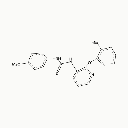 COc1ccc(NC(=S)Nc2cccnc2Oc2ccccc2C(C)(C)C)cc1